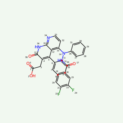 O=C(O)Cc1c(-c2ccccc2)c2c(N(NC(=O)c3ccc(F)c(F)c3)c3ccccc3)ccnc2[nH]c1=O